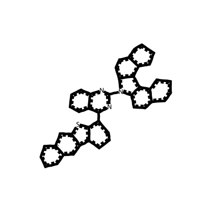 c1ccc2cc3c(cc2c1)sc1c(-c2nc(-n4c5ccc6ccccc6c5c5c6ccccc6ccc54)nc4ccccc24)cccc13